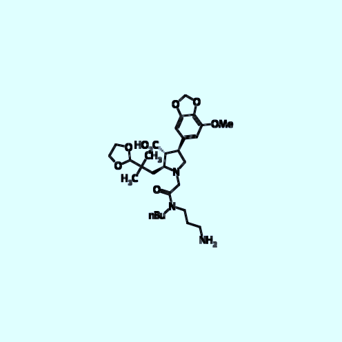 CCCCN(CCCN)C(=O)CN1C[C@H](c2cc(OC)c3c(c2)OCO3)[C@@H](C(=O)O)[C@@H]1CC(C)(C)C1OCCO1